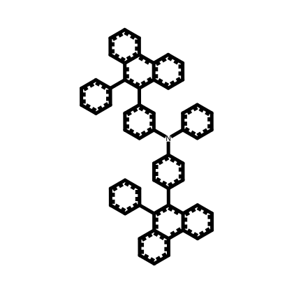 c1ccc(-c2c(-c3ccc(N(c4ccccc4)c4cccc(-c5c(-c6ccccc6)c6ccccc6c6ccccc56)c4)cc3)c3ccccc3c3ccccc23)cc1